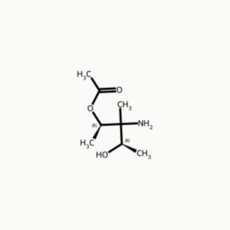 CC(=O)O[C@H](C)C(C)(N)[C@@H](C)O